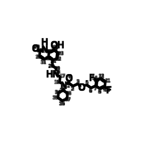 O=C(CCOCCc1cc(F)ccc1F)N(CCNCCc1ccc(O)c2[nH]c(=O)ccc12)C1CCCCC1